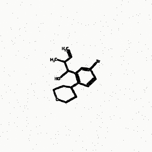 C=CC(C)C(O)c1cc(Br)ccc1C1CCOCC1